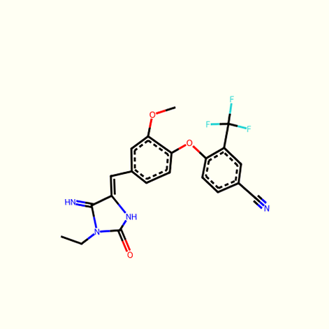 CCN1C(=N)/C(=C/c2ccc(Oc3ccc(C#N)cc3C(F)(F)F)c(OC)c2)NC1=O